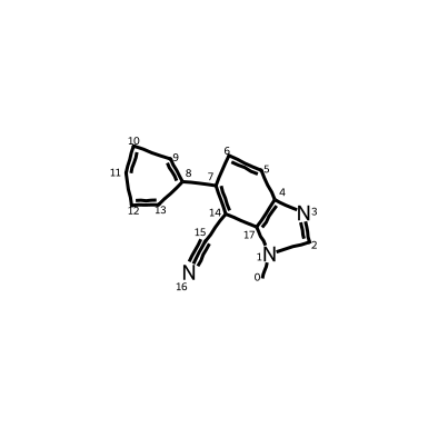 Cn1cnc2ccc(-c3ccccc3)c(C#N)c21